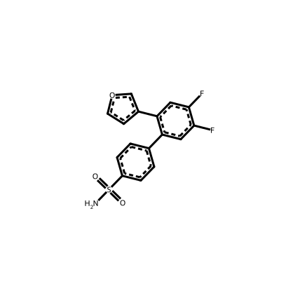 NS(=O)(=O)c1ccc(-c2cc(F)c(F)cc2-c2ccoc2)cc1